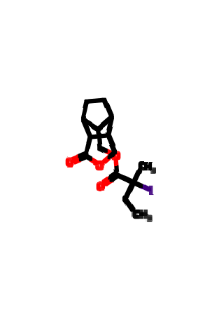 CCC(C)(I)C(=O)OCC1C2CCC1C1C(=O)OCC21